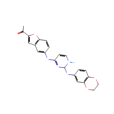 COC(=O)c1cc2cc(NC3=NC(Nc4ccc5c(c4)OCCO5)N(F)C=C3)ccc2o1